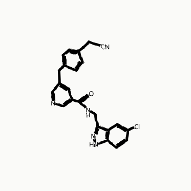 N#CCc1ccc(Cc2cncc(C(=O)NCc3n[nH]c4ccc(Cl)cc34)c2)cc1